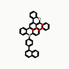 c1ccc(-c2ccc(N(c3ccc(-c4cccc5ccccc45)cc3)c3ccccc3-c3cc4c5c(cccc5c3)Oc3ccccc3-4)cc2)cc1